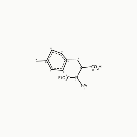 CCCN(C(=O)OCC)C(Cc1ccc(C)cc1)C(=O)O